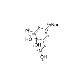 CCCCCCCCCC1=CC(C=NO)C(O)(O)C(C(C)C)=C1